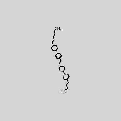 CCCCCC[C@H]1CC[C@H](c2ccc(CC[C@H]3CC[C@H]([C@H]4CC[C@H](CCCC)CC4)CC3)cc2)CC1